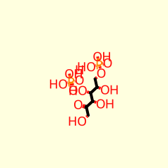 O=C(CO)C(O)C(O)C(O)COP(=O)(O)O.O=P(O)(O)O